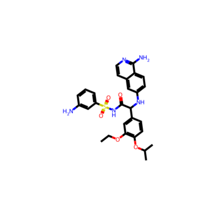 CCOc1cc(C(Nc2ccc3c(N)nccc3c2)C(=O)NS(=O)(=O)c2cccc(N)c2)ccc1OC(C)C